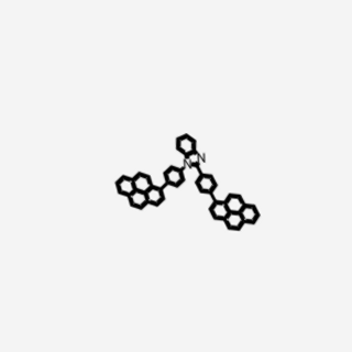 c1cc2ccc3ccc(-c4ccc(-c5nc6ccccc6n5-c5ccc(-c6ccc7ccc8cccc9ccc6c7c89)cc5)cc4)c4ccc(c1)c2c34